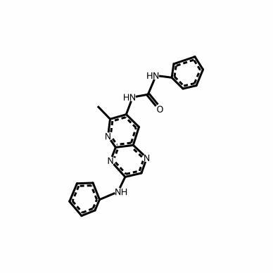 Cc1nc2nc(Nc3ccccc3)cnc2cc1NC(=O)Nc1ccccc1